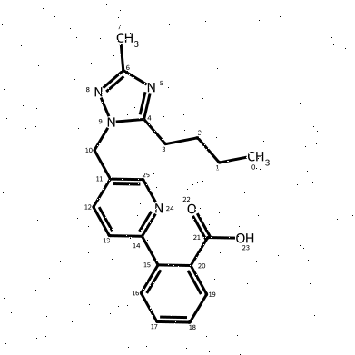 CCCCc1nc(C)nn1Cc1ccc(-c2ccccc2C(=O)O)nc1